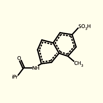 Cc1cc(S(=O)(=O)O)cc2ccc(NC(=O)C(C)C)cc12